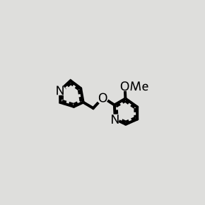 COc1cccnc1OCc1ccncc1